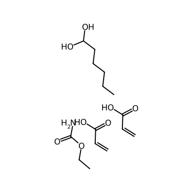 C=CC(=O)O.C=CC(=O)O.CCCCCC(O)O.CCOC(N)=O